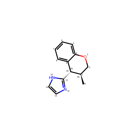 C[C@@H]1COc2ccccc2[C@H]1c1ncc[nH]1